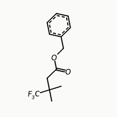 CC(C)(CC(=O)OCc1ccccc1)C(F)(F)F